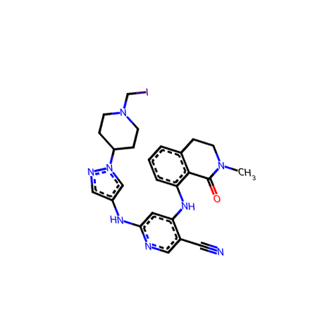 CN1CCc2cccc(Nc3cc(Nc4cnn(C5CCN(CI)CC5)c4)ncc3C#N)c2C1=O